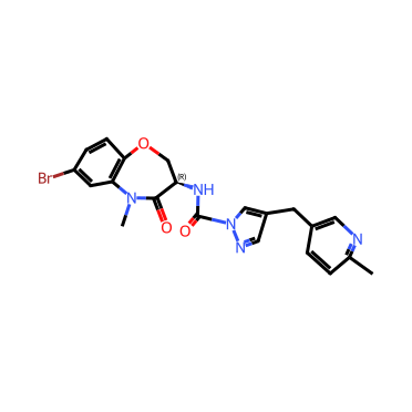 Cc1ccc(Cc2cnn(C(=O)N[C@@H]3COc4ccc(Br)cc4N(C)C3=O)c2)cn1